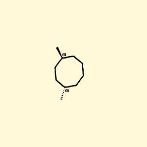 C[C@H]1CCCC[C@H](C)CC1